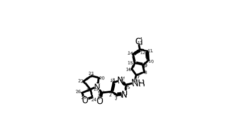 O=C(c1cnc(NC2Cc3ccc(Cl)cc3C2)nc1)N1CCCC12COC2